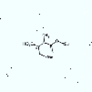 CSC[C@@H](C(=O)O)N(C)C(=O)OC(C)(C)C